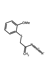 C=C(CSc1ccccc1OC)N=[N+]=[N-]